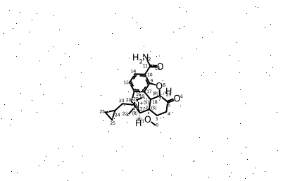 CO[C@@]12CCC(=O)[C@@H]3Oc4c(C(N)=O)ccc5c4[C@@]31CC[N+](C)(CC1CC1)[C@@H]2C5